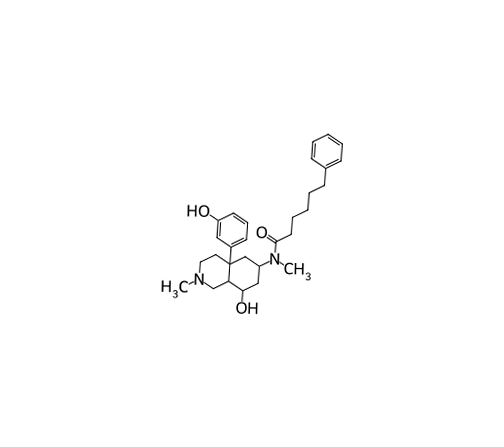 CN1CCC2(c3cccc(O)c3)CC(N(C)C(=O)CCCCCc3ccccc3)CC(O)C2C1